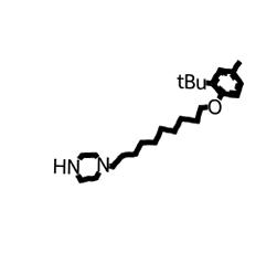 Cc1ccc(OCCCCCCCCCCN2CCNCC2)c(C(C)(C)C)c1